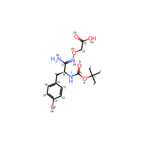 CC(C)(C)OC(=O)N[C@@H](Cc1ccc(Br)cc1)/C(N)=N/OCC(=O)O